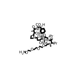 CC[C@H](C)C([C@@H](CC(=O)N1CCC[C@H]1[C@H](OC)[C@@H](C)C(=O)N[C@@H](Cc1ccccc1)C(=O)O)OC)N(C)C(=O)[C@@H](NC(=O)C(C(C)C)N(C)CCOCCOCCOCCON)C(C)C